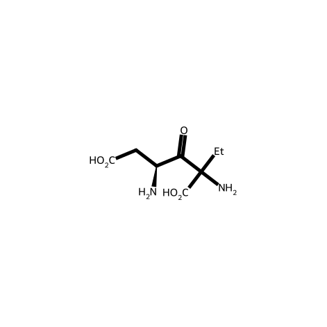 CCC(N)(C(=O)O)C(=O)[C@@H](N)CC(=O)O